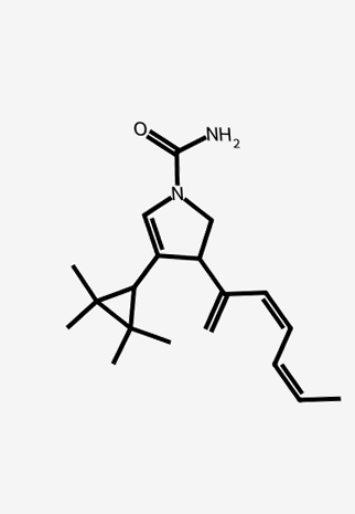 C=C(/C=C\C=C/C)C1CN(C(N)=O)C=C1C1C(C)(C)C1(C)C